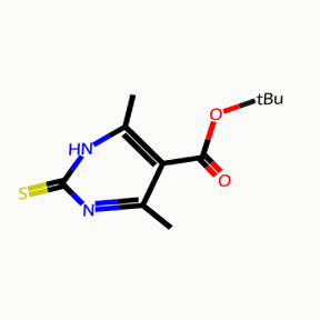 Cc1nc(=S)[nH]c(C)c1C(=O)OC(C)(C)C